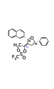 C/C(OS(=O)(=O)C(F)(F)F)=C1/C[C@@H](c2ccccc2)O[C@H]1c1ccc2ccccc2c1